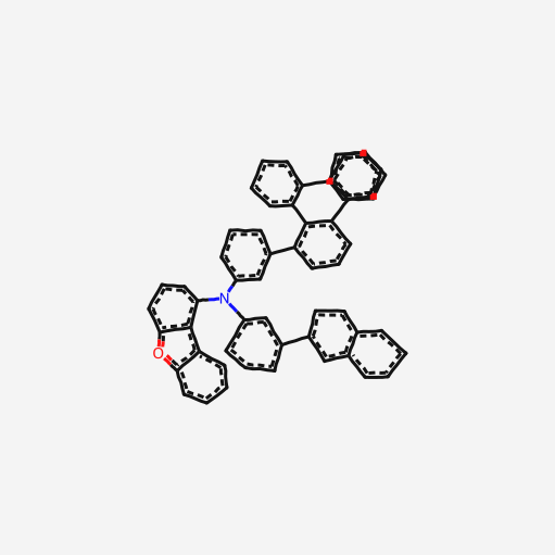 c1ccc(-c2ccccc2-c2c(-c3ccccc3)cccc2-c2cccc(N(c3cccc(-c4ccc5ccccc5c4)c3)c3cccc4oc5ccccc5c34)c2)cc1